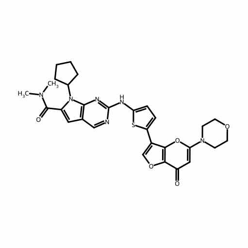 CN(C)C(=O)c1cc2cnc(Nc3ccc(-c4coc5c(=O)cc(N6CCOCC6)oc45)s3)nc2n1C1CCCC1